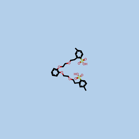 Cc1ccc(S(=O)(=O)O)c(CCOCCOc2ccccc2OCCOCCc2cc(C)ccc2S(=O)(=O)O)c1